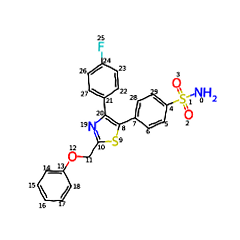 NS(=O)(=O)c1ccc(-c2sc(COc3ccccc3)nc2-c2ccc(F)cc2)cc1